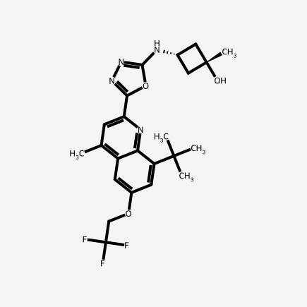 Cc1cc(-c2nnc(N[C@H]3C[C@@](C)(O)C3)o2)nc2c(C(C)(C)C)cc(OCC(F)(F)F)cc12